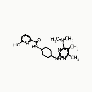 Cc1nc(NC2CCC(NC(=O)c3cccc(O)n3)CC2)nc(N(C)C)c1C